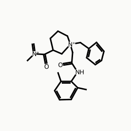 C=[N+](C)C(=O)C1CCC[N+](CC(=O)Nc2c(C)cccc2C)(Cc2ccccc2)C1